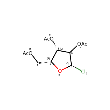 CC(=O)OC[C@H]1O[C@@H](Cl)C(OC(C)=O)[C@H]1OC(C)=O